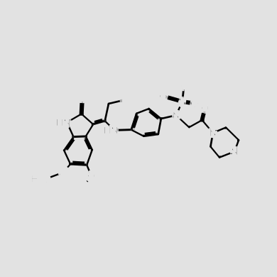 CCC(Nc1ccc(N(CC(=O)N2CCNCC2)S(C)(=O)=O)cc1)=C1C(=O)Nc2cc(OC)c(OC)cc21